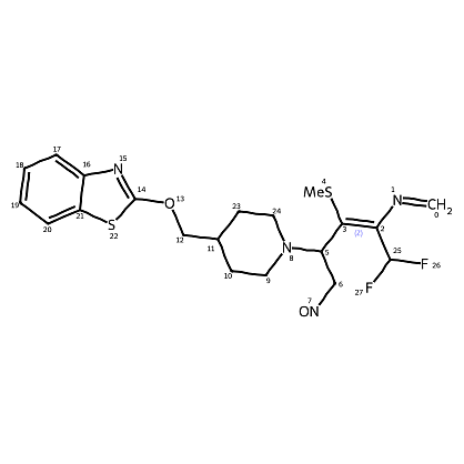 C=N/C(=C(\SC)C(CN=O)N1CCC(COc2nc3ccccc3s2)CC1)C(F)F